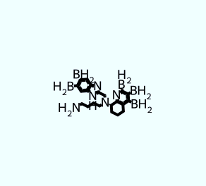 Bc1cc2nc(CN(CCCCN)[C@H]3CCCc4c3nc(B)c(B)c4B)[nH]c2cc1B